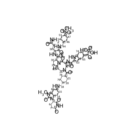 Cn1c(=O)n(C2CCC(=O)NC2=O)c2ccc(NC[C@H]3CC[C@H](C(=O)N4CC[C@H]5CC[C@@H](C(=O)N[C@@H](CCC(N)=O)C(=O)NCc6ccc(S(C)(=O)=O)cc6)N5C(=O)[C@@H](NC(=O)c5cc6cc(C(=O)P(=O)(O)O)ccc6[nH]5)C4)CC3)cc21